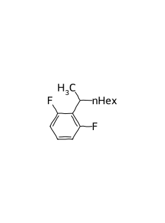 CCCCCCC(C)c1c(F)cccc1F